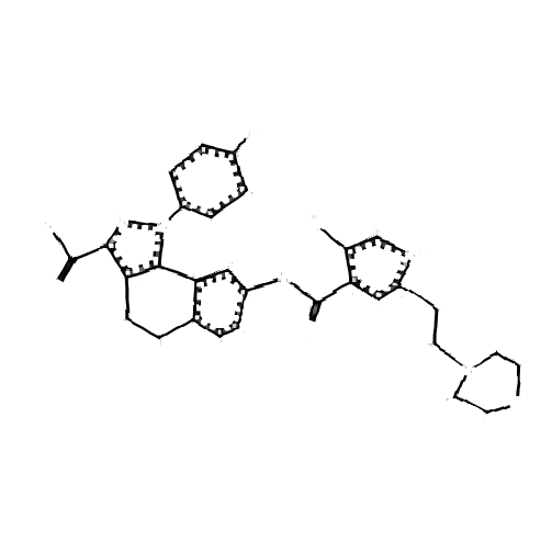 NC(=O)c1nn(-c2ccc(F)cc2)c2c1CCc1ccc(NC(=O)c3cc(CCN4CCOCC4)ncc3Cl)cc1-2